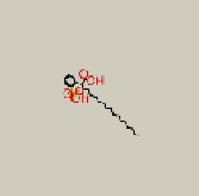 CCCCCCCCCCCCCCCCC(C(=O)O)c1ccccc1S(=O)(=O)O